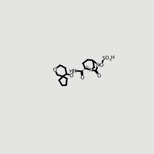 O=C(NOC1CCOCC12CCCC2)[C@@H]1CCC2CN1C(=O)N2OS(=O)(=O)O